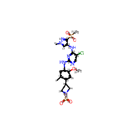 Cc1cc(Nc2ncc(Cl)c(Nc3cn(C)nc3S(=O)(=O)C(C)C)n2)c(OC(C)C)cc1C1CN([SH](=O)=O)C1